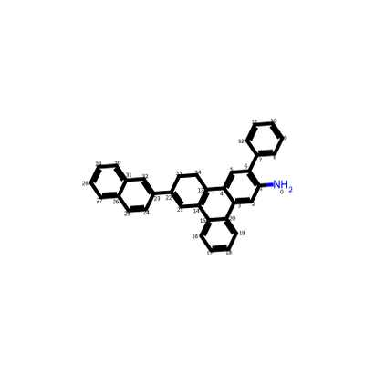 Nc1cc2c(cc1-c1ccccc1)c1c(c3ccccc32)C=C(c2ccc3ccccc3c2)CC1